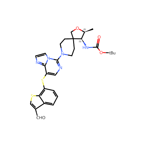 C[C@@H]1OCC2(CCN(c3ncc(Sc4cccc5c(C=O)csc45)c4nccn34)CC2)[C@@H]1NC(=O)OC(C)(C)C